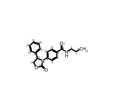 CCCNC(=O)c1ccc(N2C(=O)OCC2c2ccccc2)cc1